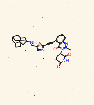 Cc1nc2cccc(C#Cc3ncc(CNC45CC6CC7CCC7(C4)C(C6)C5)s3)c2c(=O)n1C1CCC(=O)NC1=O